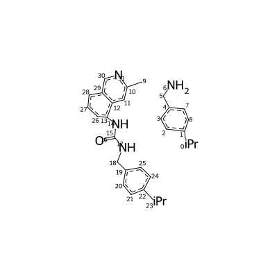 CC(C)c1ccc(CN)cc1.Cc1cc2c(NC(=O)NCc3ccc(C(C)C)cc3)cccc2cn1